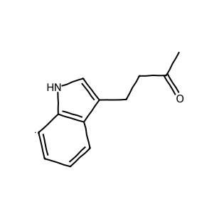 CC(=O)CCc1c[nH]c2[c]cccc12